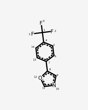 FC(F)(F)c1ccc(-c2cnco2)cc1